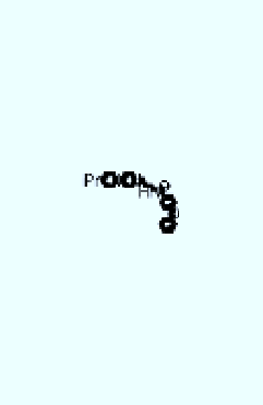 CC(C)C1CCN(C2CCN(CCCNC(=O)c3ccc(Oc4ccccc4)cc3)CC2)CC1